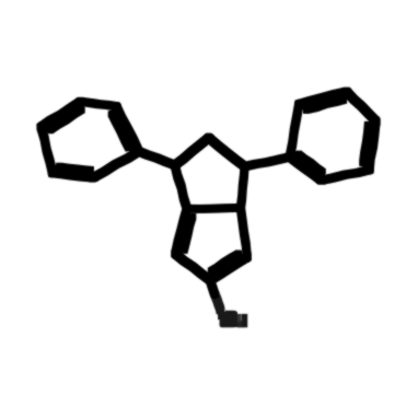 CC(C)(C)C1=CC2C(=C1)C(c1ccccc1)CC2c1ccccc1